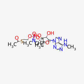 CNc1ncnc2c1ncn2[C@H]1O[C@](C)(COP(=O)(OCCSC(C)=O)N(C)C)[C@H](O)C1O